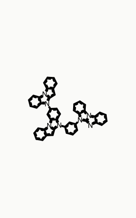 c1cc(-n2c3ccc(-n4c5ccccc5n5c6ccccc6cc45)cc3n3c4ccccc4cc23)cc(-n2c3ccccc3n3c4ccccc4nc23)c1